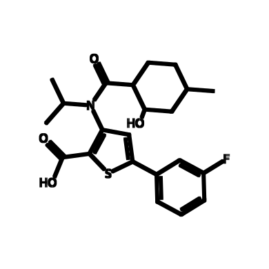 CC1CCC(C(=O)N(c2cc(-c3cccc(F)c3)sc2C(=O)O)C(C)C)C(O)C1